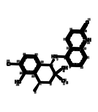 C[C@@H]1C[C@](O)(C(F)(F)F)[C@@H](Nc2cccc3[nH]c(=O)ccc23)c2ccc(Cl)c(O)c21